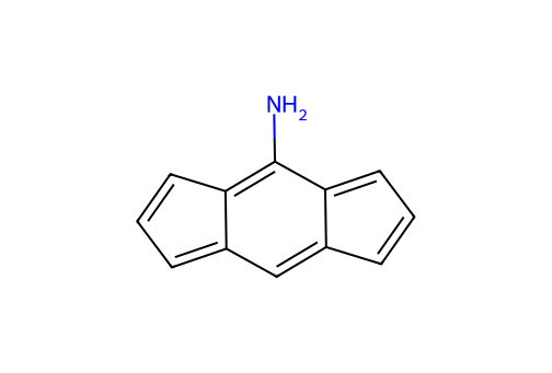 Nc1c2c(cc3c1=CC=C3)=CC=C2